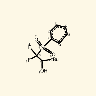 CC(C)(C)C(O)C(F)(F)S(=O)(=O)c1ccccc1